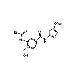 CCC(=O)Nc1cc(C(=O)Nc2cc(OC)co2)ccc1CO